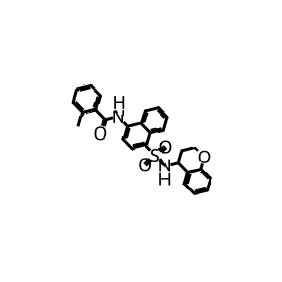 Cc1ccccc1C(=O)Nc1ccc(S(=O)(=O)NC2CCOc3ccccc32)c2ccccc12